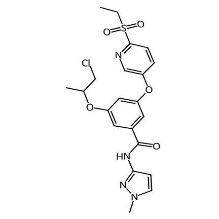 CCS(=O)(=O)c1ccc(Oc2cc(OC(C)CCl)cc(C(=O)Nc3ccn(C)n3)c2)cn1